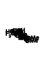 COc1ccc(S(=O)(=O)NC(c2cc3cccc(-c4cc(C(C)(O)C(F)(F)F)ccn4)c3s2)c2ccccc2Cl)cc1OC